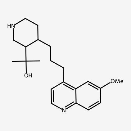 COc1ccc2nccc(CCCC3CCNCC3C(C)(C)O)c2c1